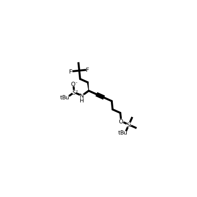 CC(F)(F)CC[C@@H](C#CCCCO[Si](C)(C)C(C)(C)C)N[S+]([O-])C(C)(C)C